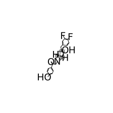 O=C(CN1C[C@@H]2C[C@@](O)(Cc3ccc(F)c(F)c3)C[C@@H]2C1)c1ccc(O)cc1